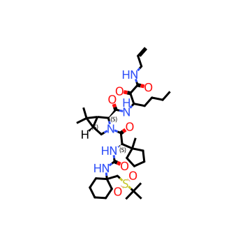 C=CCNC(=O)C(=O)C(CCCC)NC(=O)[C@@H]1C2[C@H](CN1C(=O)[C@@H](NC(=O)NC1(CS(=O)(=O)C(C)(C)C)CCCCC1)C1(C)CCCC1)C2(C)C